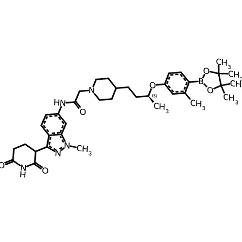 Cc1cc(O[C@@H](C)CCC2CCN(CC(=O)Nc3ccc4c(C5CCC(=O)NC5=O)nn(C)c4c3)CC2)ccc1B1OC(C)(C)C(C)(C)O1